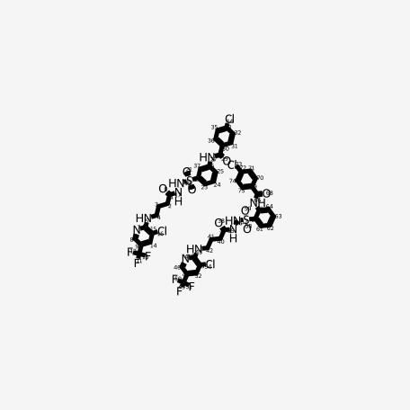 O=C(CCCNc1ncc(C(F)(F)F)cc1Cl)NNS(=O)(=O)c1cccc(NC(=O)c2ccc(Cl)cc2)c1.O=C(CCCNc1ncc(C(F)(F)F)cc1Cl)NNS(=O)(=O)c1ccccc1NC(=O)c1ccc(Cl)cc1